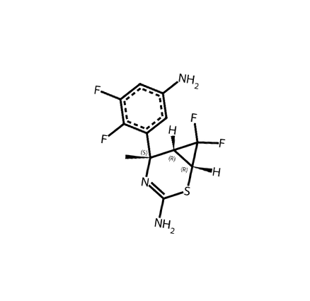 C[C@]1(c2cc(N)cc(F)c2F)N=C(N)S[C@@H]2[C@H]1C2(F)F